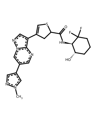 Cn1cc(-c2cnc3c(C4=CSC(C(=O)N[C@@H]5[C@@H](O)CCCC5(F)F)C4)cnn3c2)cn1